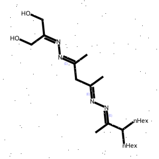 CCCCCCC(CCCCCC)/C(C)=N/N=C(\C)C/C(C)=N/N=C(CO)CO